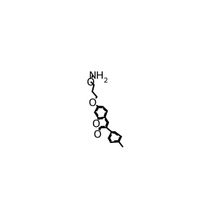 Cc1ccc(-c2cc3ccc(OCCCON)cc3oc2=O)cc1